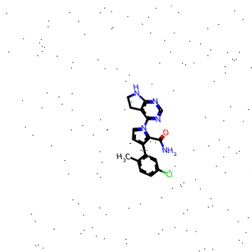 Cc1ccc(Cl)cc1-c1ccn(-c2ncnc3c2CCN3)c1C(N)=O